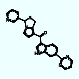 O=C(c1ccn2c1CSC2c1cccnc1)c1c[nH]c2cc(-c3ncccn3)ccc12